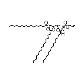 C=CCOC(=O)[C@@H](CSCC(COC(=O)CCCCCCCCCCCCCCC)OC(=O)CCCCCCCCCCCCCCC)NC(=O)CCCCCCCCCCCCCCC